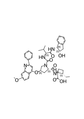 CC[C@H]1CC[C@@]1(NC(=O)[C@@H]1C[C@@H](Oc2cc(-c3ccccc3)nc3cc(OC)ccc23)CN1C(=O)N[C@H](C(=O)N[C@@H]1c2ccccc2C[C@@H]1O)C(C)C)C(=O)O